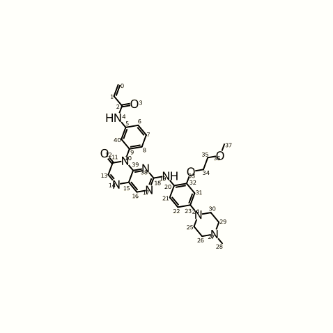 C=CC(=O)Nc1cccc(-n2c(=O)cnc3cnc(Nc4ccc(N5CCN(C)CC5)cc4OCCOC)nc32)c1